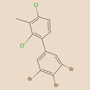 Cc1c(Cl)ccc(-c2cc(Br)c(Br)c(Br)c2)c1Cl